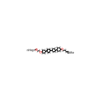 [CH2+][CH-]CCCCCOCCOC1CCC(c2ccc(C3CCC(C4CCC(OCCCCOC)CC4)CC3)cc2)CC1